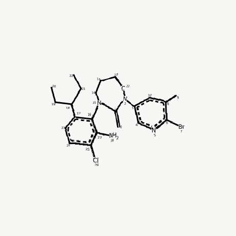 C=C1N(c2cnc(Br)c(C)c2)CCCCN1c1c(C(CC)CC)ccc(Cl)c1N